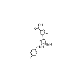 Br.Cc1ccc(CNc2nc(-c3cc(C(O)=S)sc3C)cs2)cc1